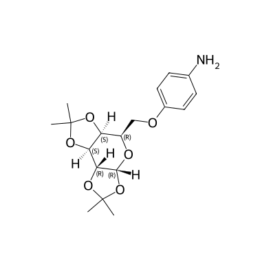 CC1(C)O[C@H]2[C@@H](O1)[C@@H](COc1ccc(N)cc1)O[C@@H]1OC(C)(C)O[C@@H]12